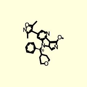 COC1=C2c3ncc(-c4c(C)noc4C)cc3N([C@H](c3ccccc3)C3CCOCC3)C2C=N1